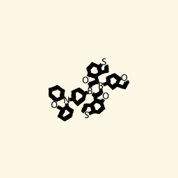 c1ccc2c(c1)Oc1ccccc1N2c1ccc(B2c3oc4ccc5sccc5c4c3B(c3ccc4occc4c3)c3oc4ccc5sccc5c4c32)cc1